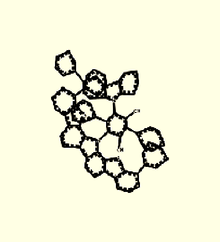 N#Cc1c(-c2ccccc2)c(C#N)c(-n2c3c(ccc4c5cccc(-c6ccccc6)c5sc43)c3ccc4c5cccc(-c6ccccc6)c5sc4c32)c(-c2ccccc2)c1-n1c2ccccc2c2cc(-c3ccccc3)ccc21